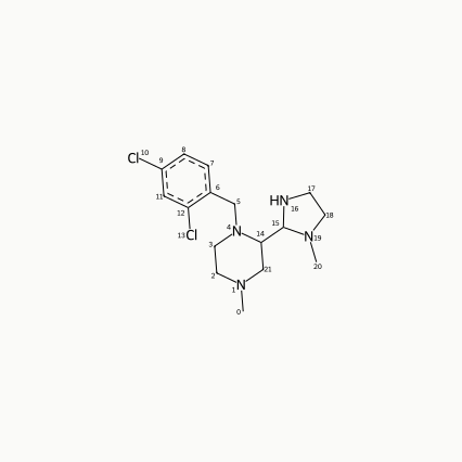 CN1CCN(Cc2ccc(Cl)cc2Cl)C(C2NCCN2C)C1